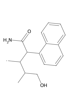 [CH2]C(C(C)CO)C(C(N)=O)c1cccc2ccccc12